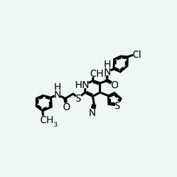 CC1=C(C(=O)Nc2ccc(Cl)cc2)C(c2ccsc2)C(C#N)=C(SCC(=O)Nc2cccc(C)c2)N1